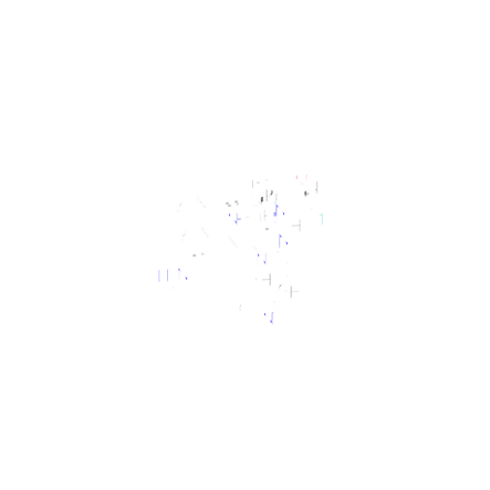 [2H]C([2H])(Oc1nc(N2CCCO[C@H]3[C@@H](F)[C@H]32)c2cnc(-c3cc(N)cc4cc(F)c(F)c(C#C[Si](C(C)C)(C(C)C)C(C)C)c34)c(F)c2n1)[C@@]12CCCN1C[C@H](F)C2